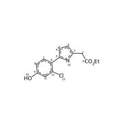 CCOC(=O)Cc1csc(-c2ccc(O)cc2Cl)n1